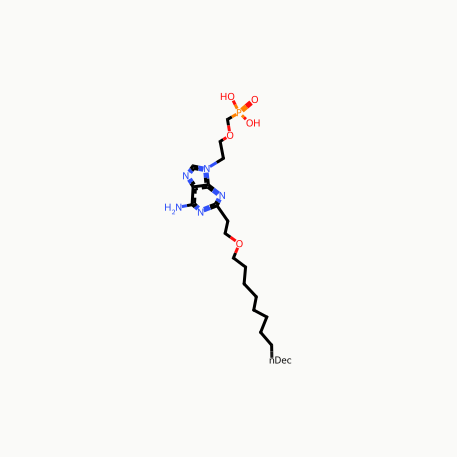 CCCCCCCCCCCCCCCCCCOCCc1nc(N)c2ncn(CCOCP(=O)(O)O)c2n1